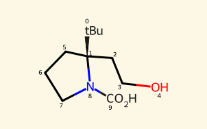 CC(C)(C)[C@]1(CCO)CCCN1C(=O)O